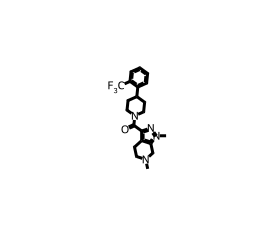 CN1CCc2c(C(=O)N3CCC(c4ccccc4C(F)(F)F)CC3)nn(C)c2C1